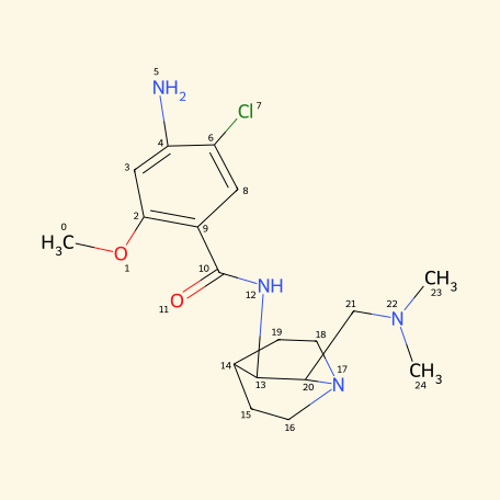 COc1cc(N)c(Cl)cc1C(=O)NC1C2CCN(CC2)C1CN(C)C